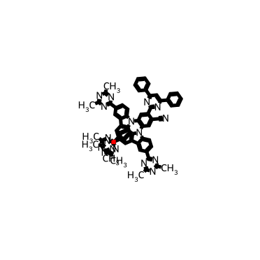 Cc1nc(C)nc(-c2ccc3c(c2)c2cc(-c4nc(C)nc(C)n4)ccc2n3-c2cc(C#N)c(-c3nc(-c4ccccc4)cc(-c4ccccc4)n3)cc2-n2c3ccc(-c4nc(C)nc(C)n4)cc3c3cc(-c4nc(C)nc(C)n4)ccc32)n1